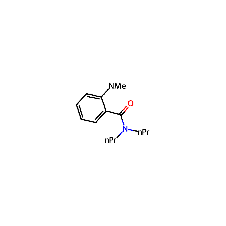 CCCN(CCC)C(=O)c1ccccc1NC